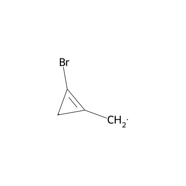 [CH2]C1=C(Br)C1